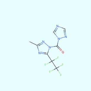 Cc1nc(C(F)(F)C(F)(F)F)n(C(=O)n2cncn2)n1